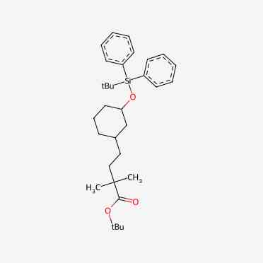 CC(C)(C)OC(=O)C(C)(C)CCC1CCCC(O[Si](c2ccccc2)(c2ccccc2)C(C)(C)C)C1